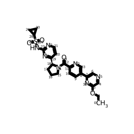 CCOc1cncc(-c2ccc(C(=O)N3CCC[C@H]3c3ccnc(NS(=O)(=O)C4CC4)n3)nc2)n1